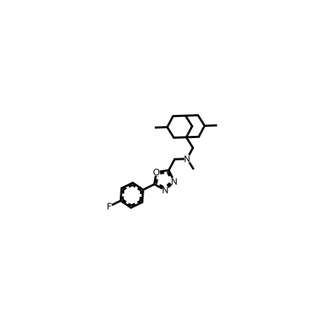 CC1CC2CC(C)CC(CN(C)Cc3nnc(-c4ccc(F)cc4)o3)(C1)C2